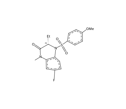 CC[C@H]1C(=O)N(C)c2cc(F)ccc2N1S(=O)(=O)c1ccc(OC)cc1